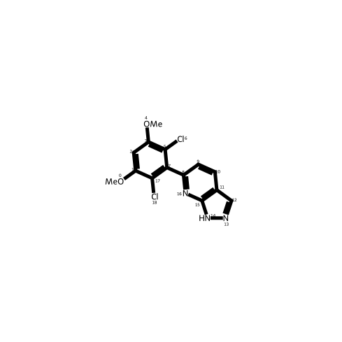 COc1cc(OC)c(Cl)c(-c2ccc3cn[nH]c3n2)c1Cl